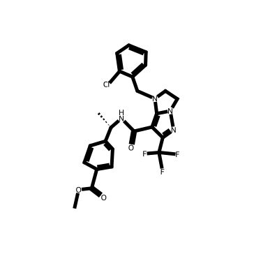 COC(=O)c1ccc([C@H](C)NC(=O)c2c(C(F)(F)F)nn3c2N(Cc2ccccc2Cl)CC3)cc1